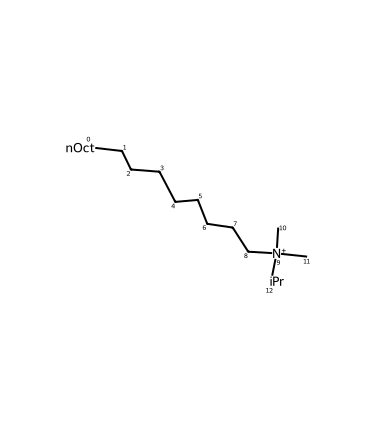 CCCCCCCCCCCCCCCC[N+](C)(C)C(C)C